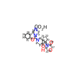 O=C(O)N1CCN(C(=O)N2CCC(O)(CN3CCOCC3=O)C3(CCCC3)C2)[C@H](c2ccccc2)C1